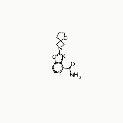 NC(=O)c1[c]ccc2oc(N3CC4(CCCO4)C3)nc12